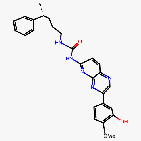 COc1ccc(-c2cnc3ccc(NC(=O)NCCC[C@@H](C)c4ccccc4)nc3n2)cc1O